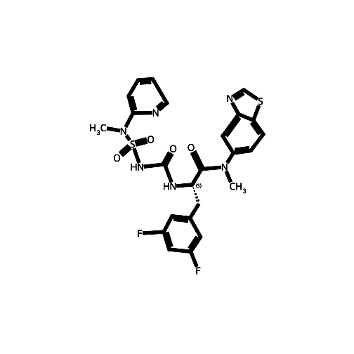 CN(C(=O)[C@H](Cc1cc(F)cc(F)c1)NC(=O)NS(=O)(=O)N(C)c1ccccn1)c1ccc2scnc2c1